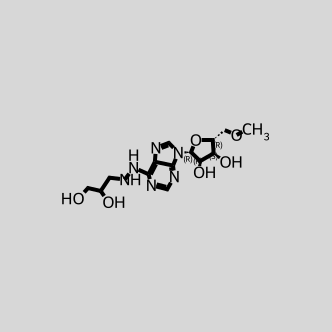 COC[C@H]1O[C@@H](n2cnc3c(NNCC(O)CO)ncnc32)[C@H](O)[C@@H]1O